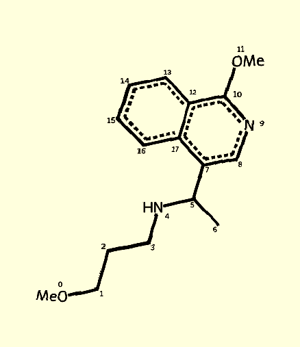 COCCCNC(C)c1cnc(OC)c2ccccc12